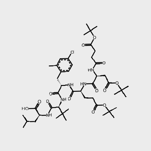 Cc1cc(Cl)ccc1C[C@H](NC(=O)[C@H](CCC(=O)OC(C)(C)C)NC(=O)[C@H](CC(=O)OC(C)(C)C)NC(=O)CCC(=O)OC(C)(C)C)C(=O)N[C@H](C(=O)N[C@@H](CC(C)C)C(=O)O)C(C)(C)C